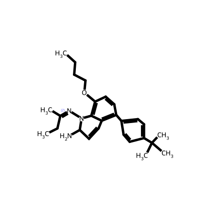 CCCCOc1ccc(-c2ccc(C(C)(C)C)cc2)c2c1N(/N=C(/C)CC)C(N)C=C2